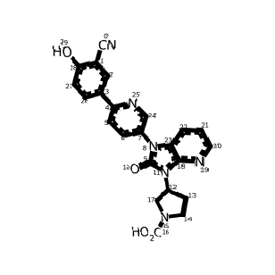 N#Cc1cc(-c2ccc(-n3c(=O)n(C4CCN(C(=O)O)C4)c4ncccc43)cn2)ccc1O